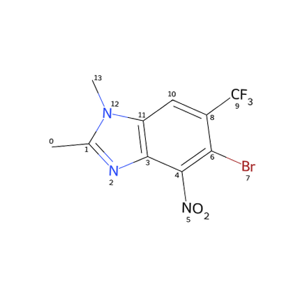 Cc1nc2c([N+](=O)[O-])c(Br)c(C(F)(F)F)cc2n1C